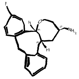 N[C@@H]1CO[C@H]2c3cc(F)ccc3Cc3ccccc3[C@H]2C1